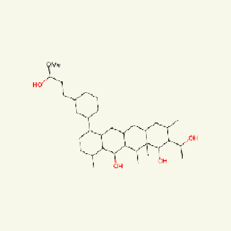 COC(O)CCC1CCCC(C2CCC(C)C3C(O)C4C(CC23)CC2CC(C)C(C(C)O)C(O)C2(C)C4C)C1